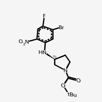 CC(C)(C)OC(=O)N1CC[C@H](Nc2cc(Br)c(F)cc2[N+](=O)[O-])C1